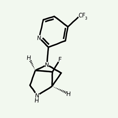 FC1[C@H]2CN[C@@H]1CN2c1cc(C(F)(F)F)ccn1